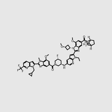 CCn1c(-c2nc3cc(C(=O)N4C[C@H]5CC[C@@H]4[C@@H]5N)cc(OC)c3n2[C@H]2C[C@H](OC)C2)cc2cc(N[C@@H]3C[C@@H](F)CN(C(=O)c4cc(OC)c5c(c4)nc(-c4cc6ccc(C(F)(F)F)nc6n4CC4CC4)n5C)C3)cnc21